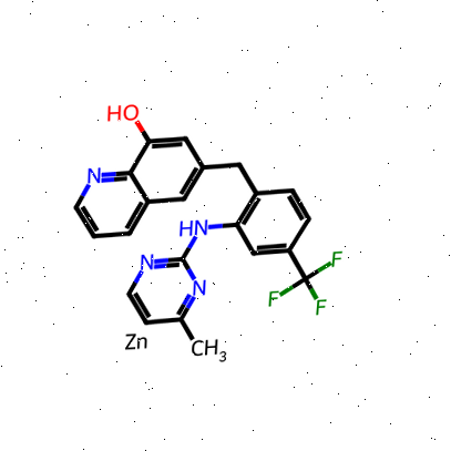 Cc1ccnc(Nc2cc(C(F)(F)F)ccc2Cc2cc(O)c3ncccc3c2)n1.[Zn]